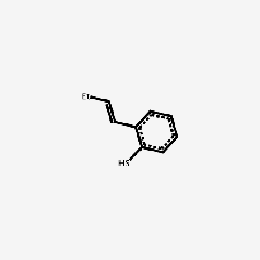 CC/C=C/c1ccccc1S